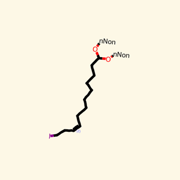 CCCCCCCCCOC(CCCCCCC/C=C\CCI)OCCCCCCCCC